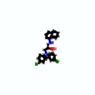 OC(CNc1cccc2ccccc12)Cn1c2ccc(Br)cc2c2cc(Br)ccc21